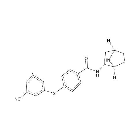 N#Cc1cncc(Sc2ccc(C(=O)N[C@@H]3C[C@H]4CC[C@@H]3N4)cc2)c1